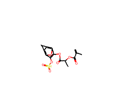 C=C(C)C(=O)OC(C)C(=O)Oc1c(O[SH](=O)=O)c2oc1c1c2C1